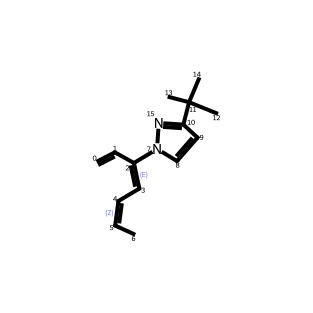 C=C/C(=C\C=C/C)n1ccc(C(C)(C)C)n1